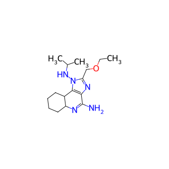 CCOCc1nc2c(n1NC(C)C)C1CCCCC1N=C2N